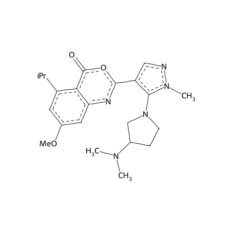 COc1cc(C(C)C)c2c(=O)oc(-c3cnn(C)c3N3CCC(N(C)C)C3)nc2c1